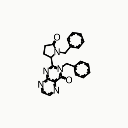 O=C1CCC(c2nc3nccnc3c(=O)n2Cc2ccccc2)N1Cc1ccccc1